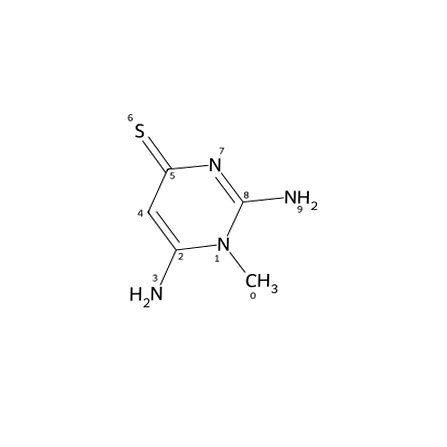 Cn1c(N)cc(=S)nc1N